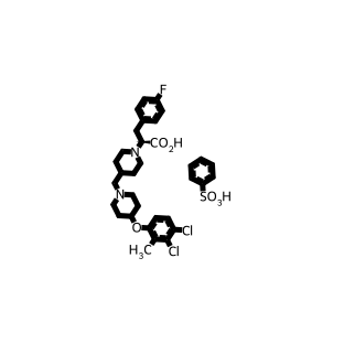 Cc1c(OC2CCN(CC3CCN([C@@H](Cc4ccc(F)cc4)C(=O)O)CC3)CC2)ccc(Cl)c1Cl.O=S(=O)(O)c1ccccc1